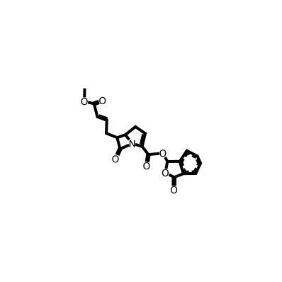 COC(=O)C=CCC1C(=O)N2C(C(=O)OC3OC(=O)c4ccccc43)=CCC12